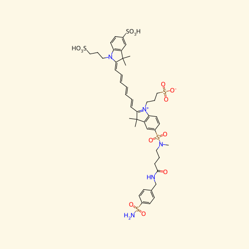 CN(CCCC(=O)NCc1ccc(S(N)(=O)=O)cc1)S(=O)(=O)c1ccc2c(c1)C(C)(C)C(/C=C/C=C/C=C/C=C1/N(CCCS(=O)(=O)O)c3ccc(S(=O)(=O)O)cc3C1(C)C)=[N+]2CCCS(=O)(=O)[O-]